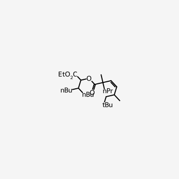 CCCCC(CCCC)C(OC(=O)C(C)(/C=C\C(C)CC(C)(C)C)CCC)C(=O)OCC